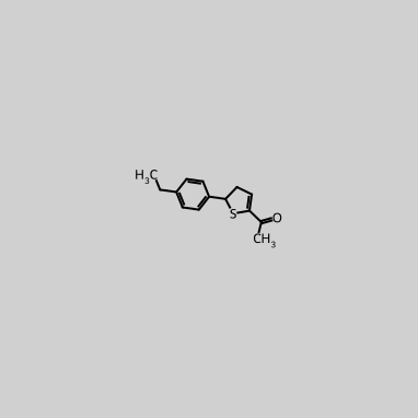 CCc1ccc(C2CC=C(C(C)=O)S2)cc1